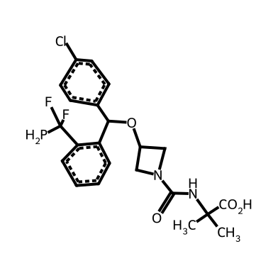 CC(C)(NC(=O)N1CC(OC(c2ccc(Cl)cc2)c2ccccc2C(F)(F)P)C1)C(=O)O